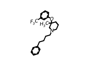 CC1(Oc2cccc(C(F)(F)F)c2)CCCN(CCCCc2ccccc2)C1